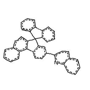 c1ccc2c(c1)-c1ccccc1C21c2cc(-c3ccc4ccccc4n3)ccc2-c2c1ccc1ccccc21